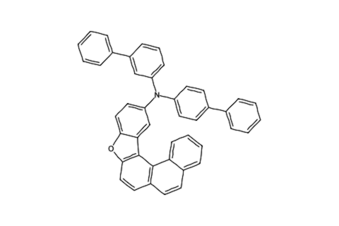 c1ccc(-c2ccc(N(c3cccc(-c4ccccc4)c3)c3ccc4oc5ccc6ccc7ccccc7c6c5c4c3)cc2)cc1